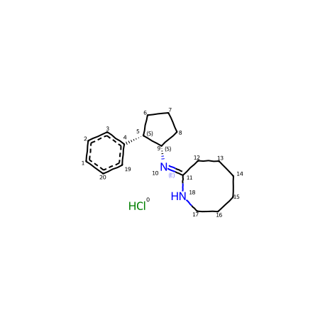 Cl.c1ccc([C@@H]2CCC[C@@H]2/N=C2\CCCCCCN2)cc1